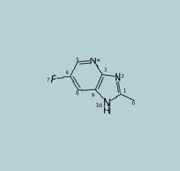 Cc1nc2ncc(F)cc2[nH]1